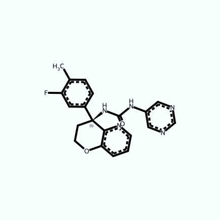 Cc1ccc([C@@]2(NC(=O)Nc3cncnc3)CCOc3cccnc32)cc1F